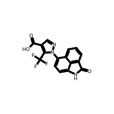 O=C(O)c1cnn(-c2ccc3c4c(cccc24)C(=O)N3)c1C(F)(F)F